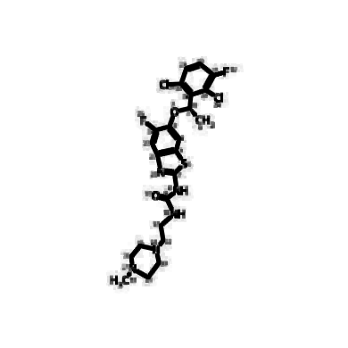 C[C@@H](Oc1cc2sc(NC(=O)NCCN3CCN(C)CC3)nc2cc1F)c1c(Cl)ccc(F)c1Cl